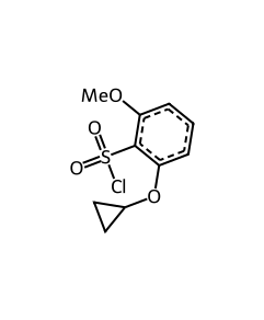 COc1cccc(OC2CC2)c1S(=O)(=O)Cl